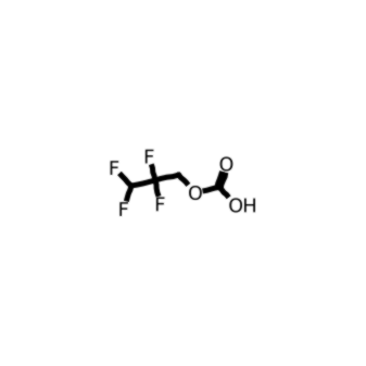 O=C(O)OCC(F)(F)C(F)F